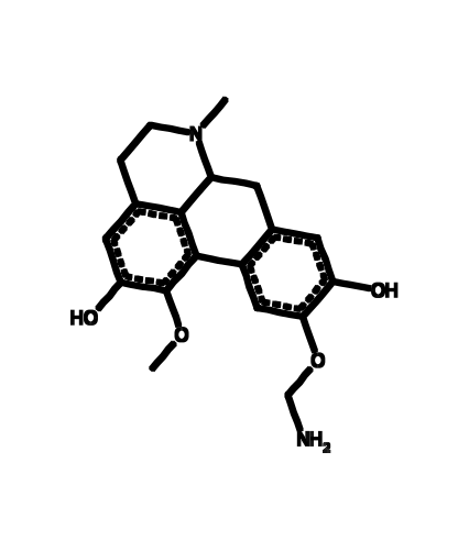 COc1c(O)cc2c3c1-c1cc(OCN)c(O)cc1CC3N(C)CC2